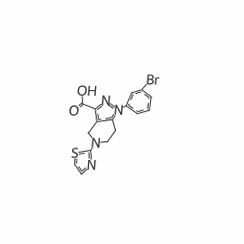 O=C(O)c1nn(-c2cccc(Br)c2)c2c1CN(c1nccs1)CC2